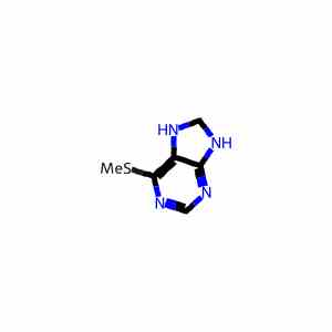 CSc1ncnc2c1NCN2